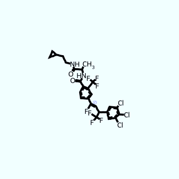 CC(NC(=O)c1ccc(/C(F)=C/C(c2cc(Cl)c(Cl)c(Cl)c2)C(F)(F)F)cc1C(F)(F)F)C(=O)NCCC1CC1